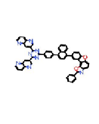 c1ccc(-c2nc3ccc4oc5ccc(-c6ccc(-c7ccc(-c8nc(-c9cnc%10cccnc%10c9)nc(-c9cnc%10cccnc%10c9)n8)cc7)c7ccccc67)cc5c4c3o2)cc1